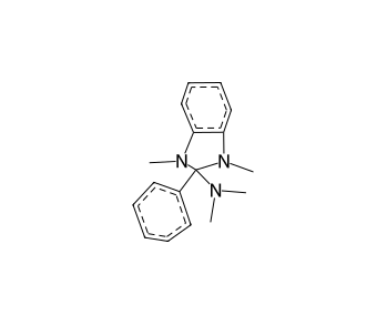 CN(C)C1(c2ccccc2)N(C)c2ccccc2N1C